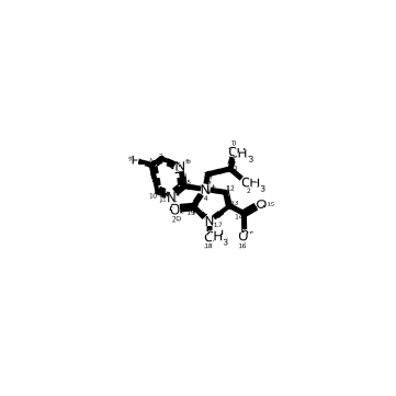 CC(C)C[N+]1(c2ncc(F)cn2)CC(C(=O)[O-])N(C)C1=O